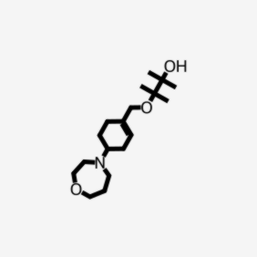 CC(C)(O)C(C)(C)OCC1=CCC(N2CCCOCC2)CC1